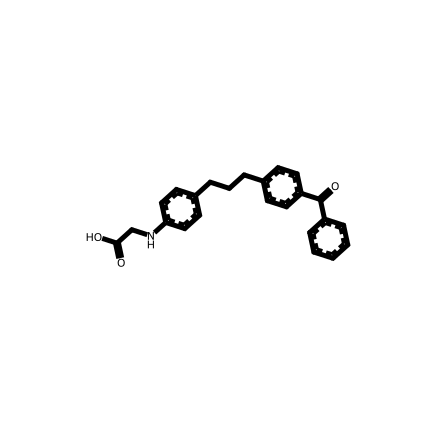 O=C(O)CNc1ccc(CCCc2ccc(C(=O)c3ccccc3)cc2)cc1